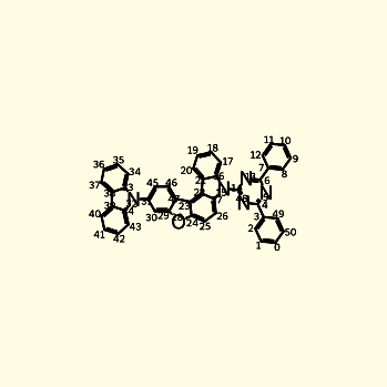 c1ccc(-c2nc(-c3ccccc3)nc(-n3c4ccccc4c4c5c(ccc43)oc3cc(-n4c6ccccc6c6ccccc64)ccc35)n2)cc1